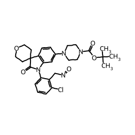 CC(C)(C)OC(=O)N1CCN(c2ccc3c(c2)N(c2cccc(Cl)c2CN=O)C(=O)C32CCOCC2)CC1